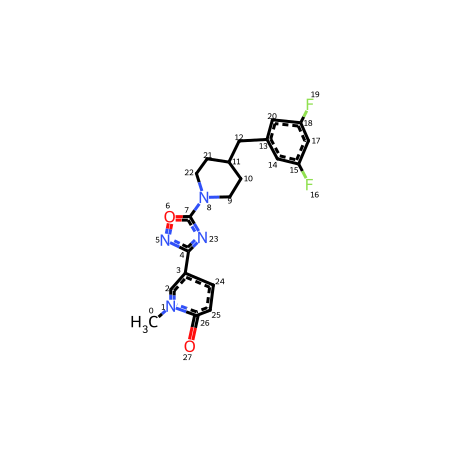 Cn1cc(-c2noc(N3CCC(Cc4cc(F)cc(F)c4)CC3)n2)ccc1=O